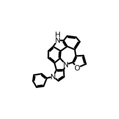 c1ccc(-n2ccc3c2c2ccc4[nH]c5cccc6c7ccoc7n3c2c4c56)cc1